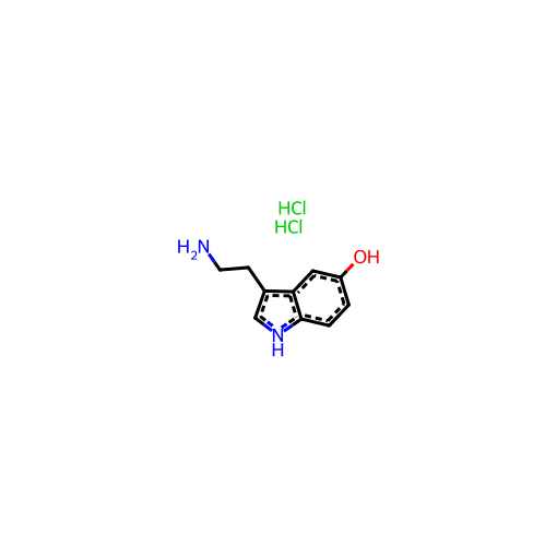 Cl.Cl.NCCc1c[nH]c2ccc(O)cc12